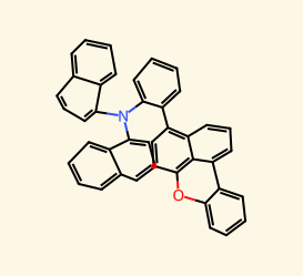 c1ccc2c(c1)Oc1ccc(-c3ccccc3N(c3cccc4ccccc34)c3cccc4ccccc34)c3cccc-2c13